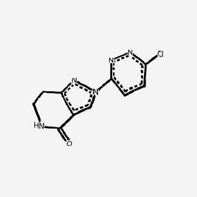 O=C1NCCc2nn(-c3ccc(Cl)nn3)cc21